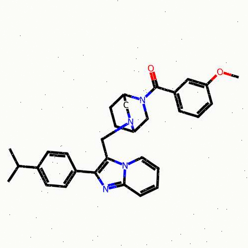 COc1cccc(C(=O)N2CC3CCC2CN3Cc2c(-c3ccc(C(C)C)cc3)nc3ccccn23)c1